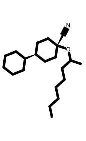 CCCCCCC(C)O[C@]1(C#N)CC[C@@H](C2CCCCC2)CC1